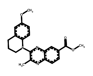 COC(=O)c1ccc2nc(C)c(N3CCCc4cc(OC)ccc43)nc2c1